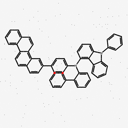 c1ccc(-c2ccccc2N(c2ccc(-c3ccc4ccc5c6ccccc6ccc5c4c3)cc2)c2cccc3c2c2ccccc2n3-c2ccccc2)cc1